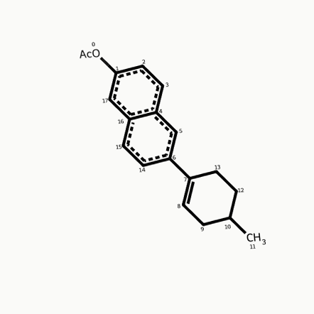 CC(=O)Oc1ccc2cc(C3=CCC(C)CC3)ccc2c1